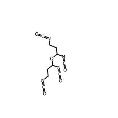 O=C=NCCC(N=C=O)OC(CCN=C=O)N=C=O